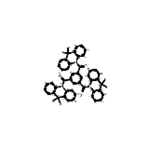 CC1(C)c2ccccc2N(C(=O)c2cc(C(=O)N3c4ccccc4C(C)(C)c4ccccc43)cc(C(=O)N3c4ccccc4C(C)(C)c4ccccc43)c2)c2ccccc21